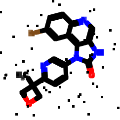 CC1(c2ccc(-n3c(=O)[nH]c4cnc5ccc(Br)cc5c43)cn2)COC1